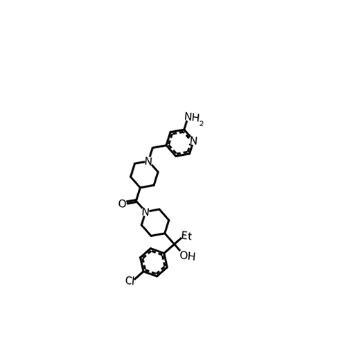 CCC(O)(c1ccc(Cl)cc1)C1CCN(C(=O)C2CCN(Cc3ccnc(N)c3)CC2)CC1